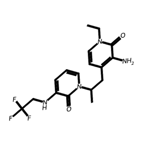 CCn1ccc(CC(C)n2cccc(NCC(F)(F)F)c2=O)c(N)c1=O